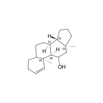 C[C@@]12CCC[C@H]1[C@@H]1CCC3CCC=C[C@]3(C)[C@@H]1C(O)C2